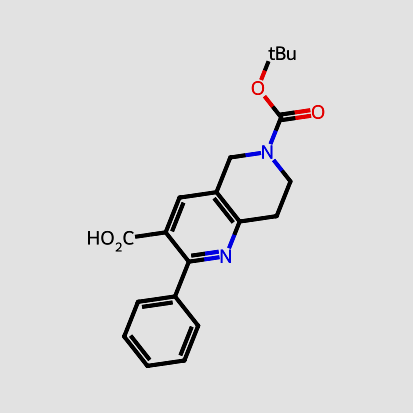 CC(C)(C)OC(=O)N1CCc2nc(-c3ccccc3)c(C(=O)O)cc2C1